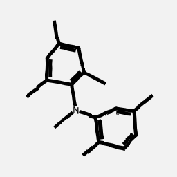 Cc1cc(C)c(N(C)c2cc(C)ccc2C)c(C)c1